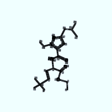 CCOC(=O)C(/C=C/C(C)(C)C)NC(=O)c1cc(CC(C)C)nn1CC